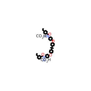 C=Cc1ccc(C(=O)Nc2ccc(Oc3ccc(C(C)(C)c4ccc(Oc5ccc(NC(=O)c6cc(C=C)ccc6C(=O)O)cc5)cc4)cc3)cc2)c(C(=O)O)c1